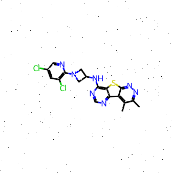 Cc1nnc2sc3c(NC4CN(c5ncc(Cl)cc5Cl)C4)ncnc3c2c1C